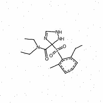 CCc1cccc(C)c1S(=O)(=O)C1(C(=O)N(CC)CC)N=CNN1